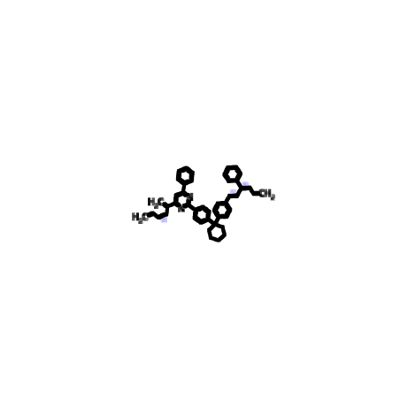 C=C/C=C\C(=C)c1cc(-c2ccccc2)nc(-c2ccc(C3(c4ccc(/C=C/C(=C\C=C)c5ccccc5)cc4)CCCCC3)cc2)n1